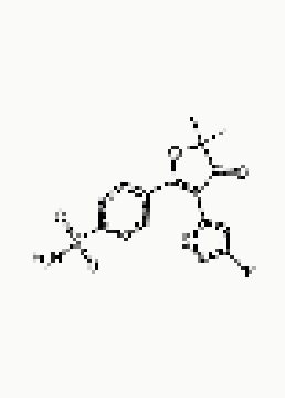 CC1(C)OC(c2ccc(S(N)(=O)=O)cc2)=C(c2cc(F)cs2)C1=O